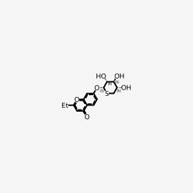 CCc1cc(=O)c2ccc(O[C@H]3SC[C@@H](O)[C@H](O)[C@H]3O)cc2o1